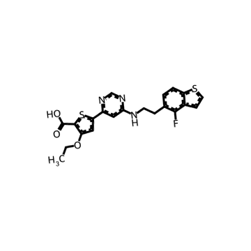 CCOc1cc(-c2cc(NCCc3ccc4sccc4c3F)ncn2)sc1C(=O)O